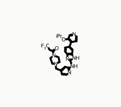 CC(C)Oc1cnccc1-c1ccc2nc(Nc3cc(CN4CCN(C(=O)CC(F)(F)F)CC4)ccn3)[nH]c2c1